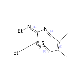 CC/N=C1/N=C/C(C)=C(C)\C=C2/SSC(CC)=C21